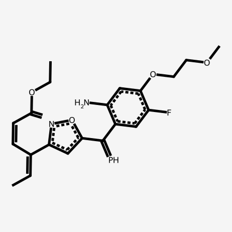 C=C(/C=C\C(=C/C)c1cc(C(=P)c2cc(F)c(OCCOC)cc2N)on1)OCC